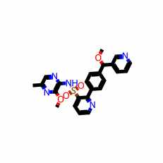 COc1nc(C)cnc1NS(=O)(=O)c1cccnc1-c1ccc(C(OC)c2cccnc2)cc1